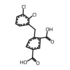 O=C(O)c1ccc(Cc2cccc(Cl)c2Cl)c(C(=O)O)c1